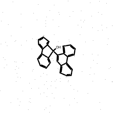 OC1(c2cc3ccccc3c3ccccc23)c2ccccc2-c2ccccc21